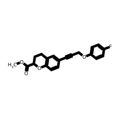 COC(=O)C1CCc2cc(C#CCOc3ccc(F)cc3)ccc2O1